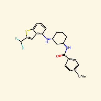 COc1ccc(C(=O)N[C@@H]2CCC[C@H](Nc3cccc4sc(C(F)F)cc34)C2)cc1